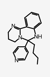 CCCCC1(c2ccncc2)Nc2ccccc2C2=NCCCN21